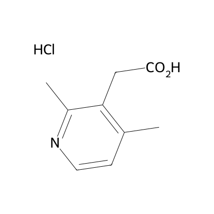 Cc1ccnc(C)c1CC(=O)O.Cl